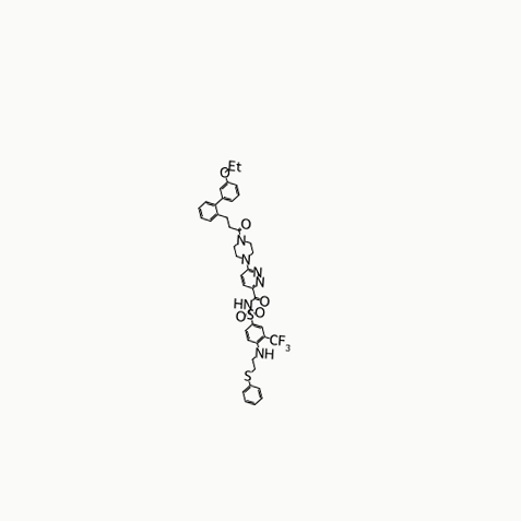 CCOc1cccc(-c2ccccc2CCC(=O)N2CCN(c3ccc(C(=O)NS(=O)(=O)c4ccc(NCCSc5ccccc5)c(C(F)(F)F)c4)nn3)CC2)c1